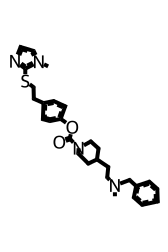 CN(CCC1CCN(C(=O)Oc2ccc(CCSc3nccn3C)cc2)CC1)Cc1ccccc1